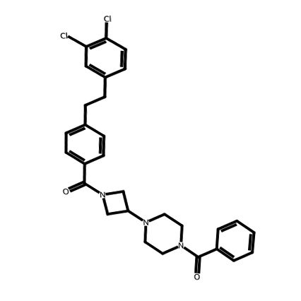 O=C(c1ccccc1)N1CCN(C2CN(C(=O)c3ccc(CCc4ccc(Cl)c(Cl)c4)cc3)C2)CC1